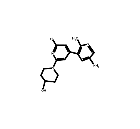 Cc1ncc(N)cc1-c1cc(Cl)nc(N2CCC(O)CC2)c1